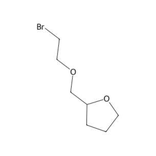 BrCCOCC1CCCO1